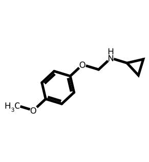 COc1ccc(OCNC2CC2)cc1